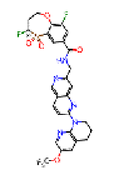 O=C(NCc1cc2nc(N3CCCc4cc(OC(F)(F)F)cnc43)ccc2cn1)c1cc(F)c2c(c1)S(=O)(=O)[C@@H](F)CCO2